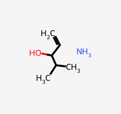 C=CC(O)C(C)C.N